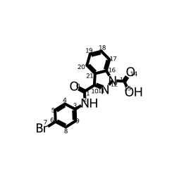 O=C(Nc1ccc(Br)cc1)c1nn(C(=O)O)c2ccccc12